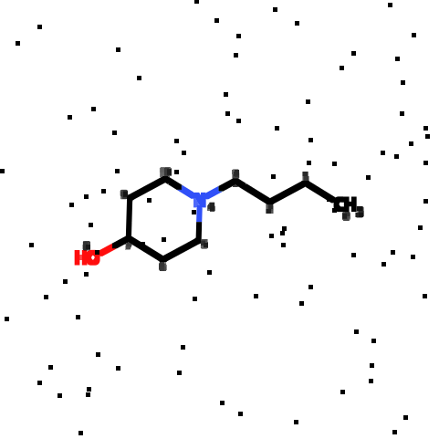 CCC[CH]N1CCC(O)CC1